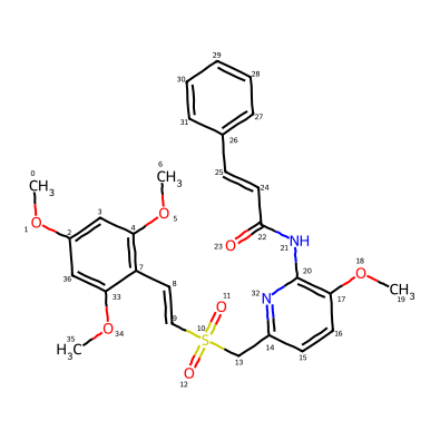 COc1cc(OC)c(C=CS(=O)(=O)Cc2ccc(OC)c(NC(=O)C=Cc3ccccc3)n2)c(OC)c1